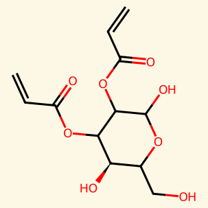 C=CC(=O)OC1C(O)OC(CO)[C@@H](O)C1OC(=O)C=C